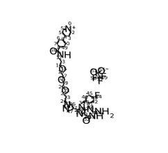 C[n+]1ccc(-c2ccc(C(=O)NCCCOCCOCCOCCCn3cc(-c4nc5c(=O)[nH]c(N)nc5n4Cc4ccc(F)cc4)cn3)cc2)cc1.O=C([O-])C(F)(F)F